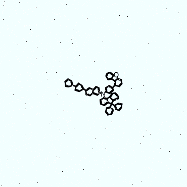 c1ccc(-c2ccc(-c3ccc4cc(N(c5ccc(-c6cccc7oc8ccccc8c67)cc5)c5cccc6c5-c5ccccc5C6(c5ccccc5)c5ccccc5)ccc4c3)cc2)cc1